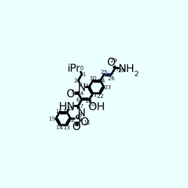 CC(C)CCn1c(=O)c(C2=NS(=O)(=O)c3ccccc3N2)c(O)c2ccc(/C=C/C(N)=O)cc21